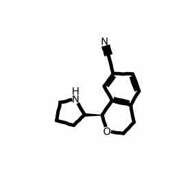 N#Cc1ccc2c(c1)[C@H](C1CCCN1)OCC2